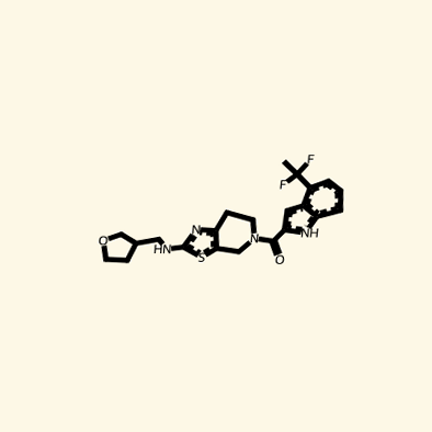 CC(F)(F)c1cccc2[nH]c(C(=O)N3CCc4nc(NCC5CCOC5)sc4C3)cc12